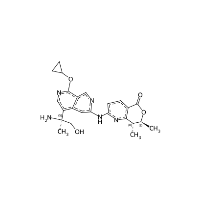 C[C@@H]1OC(=O)c2ccc(Nc3cc4c([C@](C)(N)CO)cnc(OC5CC5)c4cn3)nc2[C@H]1C